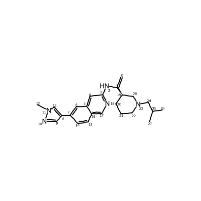 C=C(Nc1cc2cc(-c3cnn(C)c3)ccc2cn1)[C@@H]1CCCN(CC(C)C)C1